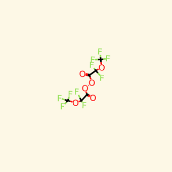 O=C(OOC(=O)C(F)(F)OC(F)(F)F)C(F)(F)OC(F)(F)F